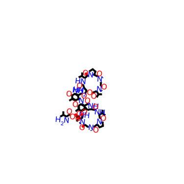 Cc1c2oc3c(C)c(NC(=O)COC(=O)C(N)C(C)C)cc(C(=O)NC4C(=O)NC(C(C)C)C(=O)N5CCCC5C(=O)N(C)CC(=O)N(C)C(C(C)C)C(=O)OC4C)c3nc-2c(C(=O)NC2C(=O)NC(C(C)C)C(=O)N3CCCC3C(=O)N(C)CC(=O)N(C)C(C(C)C)C(=O)OC2C)c(N)c1=O